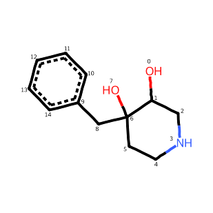 OC1CNCCC1(O)Cc1ccccc1